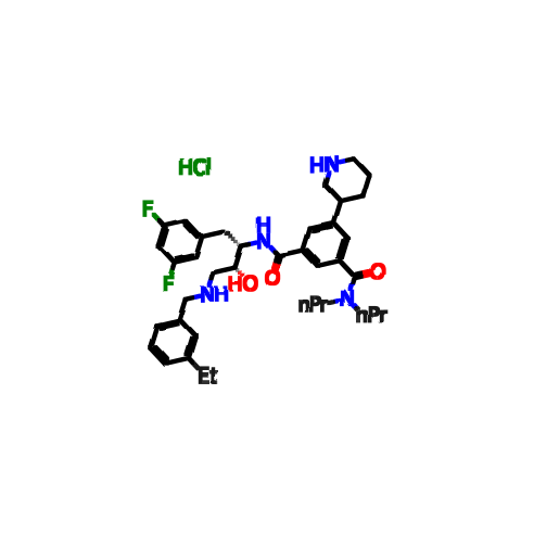 CCCN(CCC)C(=O)c1cc(C(=O)N[C@@H](Cc2cc(F)cc(F)c2)[C@H](O)CNCc2cccc(CC)c2)cc(C2CCCNC2)c1.Cl